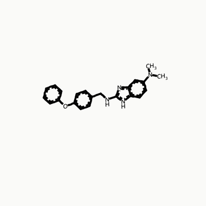 CN(C)c1ccc2[nH]c(NCc3ccc(Oc4ccccc4)cc3)nc2c1